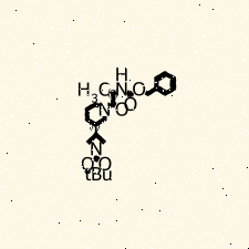 C[C@H](NC(=O)OCc1ccccc1)C(=O)N1CCC[C@H](C2CN(C(=O)OC(C)(C)C)C2)C1